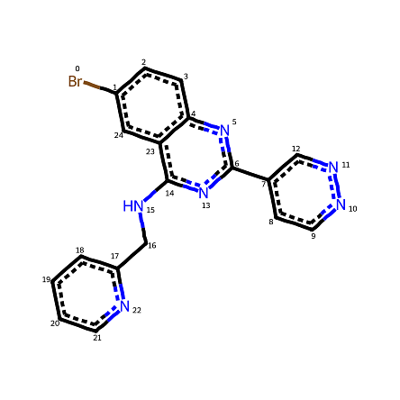 Brc1ccc2nc(-c3ccnnc3)nc(NCc3ccccn3)c2c1